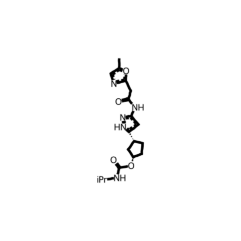 Cc1cnc(CC(=O)Nc2cc([C@@H]3CC[C@H](OC(=O)NC(C)C)C3)[nH]n2)o1